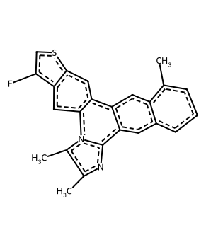 Cc1nc2c3cc4cccc(C)c4cc3c3cc4scc(F)c4cc3n2c1C